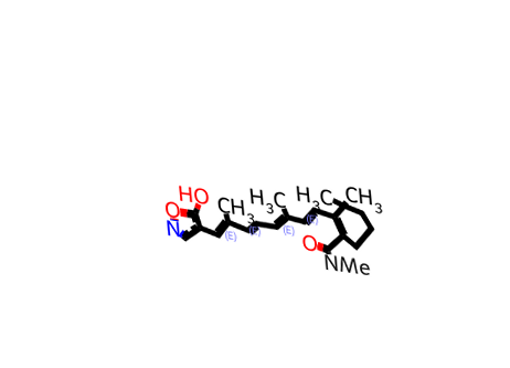 CNC(=O)C1=C(/C=C/C(C)=C/C=C/C(C)=C/c2cnoc2O)C(C)(C)CCC1